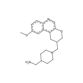 COc1ccc2ncc3c(c2c1)CC(CN1CCC(CN)CC1)CO3